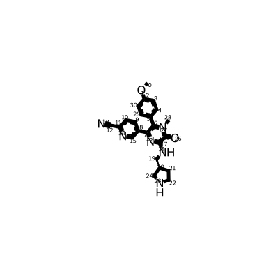 COc1ccc(-c2c(-c3ccc(C#N)nc3)nc(NC[C@H]3CCNC3)c(=O)n2C)cc1